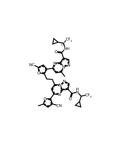 Cc1cc(C#N)c(-c2cc(CCc3oc(C#N)cc3-c3cc(C)n4ncc(C(=O)N[C@@H](C5CC5)C(F)(F)F)c4n3)n3ncc(C(=O)NC(C4CC4)C(F)(F)F)c3n2)o1